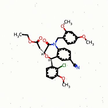 CCOC(=O)C[C@H]1O[C@H](c2cccc(OC)c2Cl)c2cc(C#N)ccc2N(Cc2ccc(OC)cc2OC)C1=O